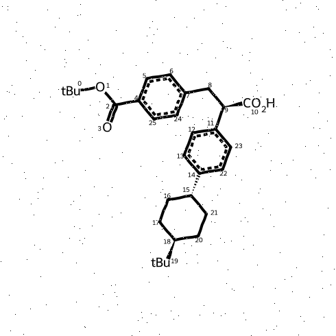 CC(C)(C)OC(=O)c1ccc(C[C@@H](C(=O)O)c2ccc([C@H]3CC[C@H](C(C)(C)C)CC3)cc2)cc1